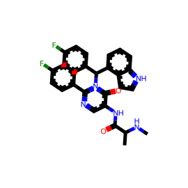 CNC(C)C(=O)Nc1cnc(-c2ccc(F)cc2)n(C(c2ccc(F)cc2)c2cccc3[nH]ccc23)c1=O